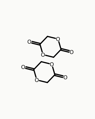 O=C1COC(=O)CO1.O=C1COC(=O)CO1